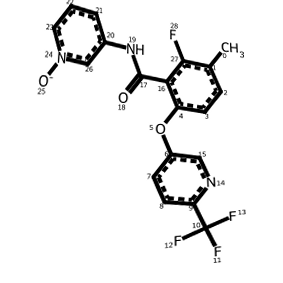 Cc1ccc(Oc2ccc(C(F)(F)F)nc2)c(C(=O)Nc2ccc[n+]([O-])c2)c1F